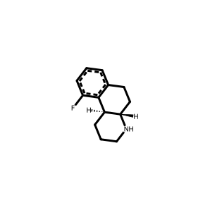 Fc1cccc2c1[C@@H]1CCCN[C@H]1CC2